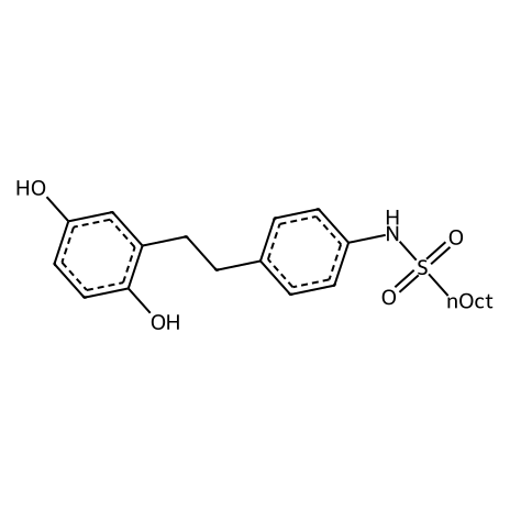 CCCCCCCCS(=O)(=O)Nc1ccc(CCc2cc(O)ccc2O)cc1